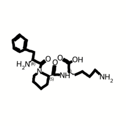 NCCCC[C@H](NC(=O)[C@@H]1CCCCN1C(=O)[C@H](N)Cc1ccccc1)C(=O)O